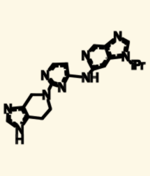 CC(C)n1cnc2cnc(Nc3ccnc(N4CCc5[nH]cnc5C4)n3)cc21